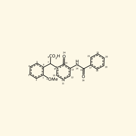 COc1ccccc1C(C(=O)O)n1cncc(NC(=O)c2ccccc2)c1=O